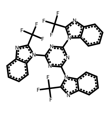 FC(F)(F)c1nc2ccccc2n1-c1nc(-n2c(C(F)(F)F)nc3ccccc32)nc(-n2c(C(F)(F)F)nc3ccccc32)n1